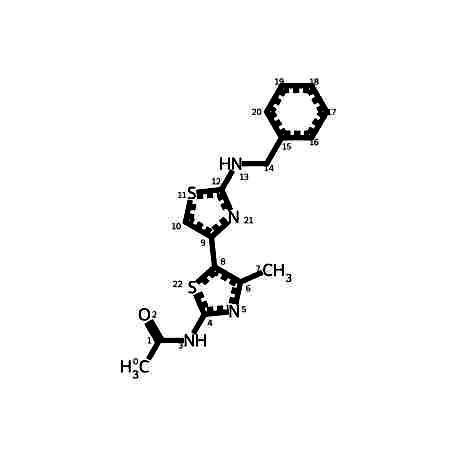 CC(=O)Nc1nc(C)c(-c2csc(NCc3ccccc3)n2)s1